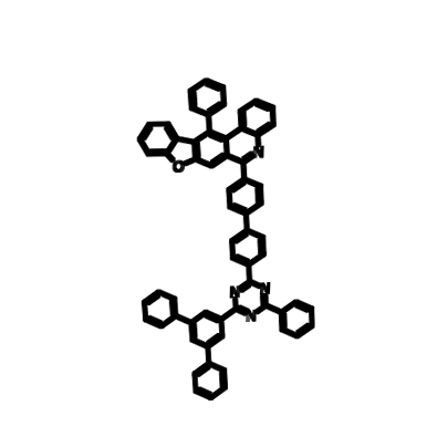 c1ccc(-c2cc(-c3ccccc3)cc(-c3nc(-c4ccccc4)nc(-c4ccc(-c5ccc(-c6nc7ccccc7c7c(-c8ccccc8)c8c(cc67)oc6ccccc68)cc5)cc4)n3)c2)cc1